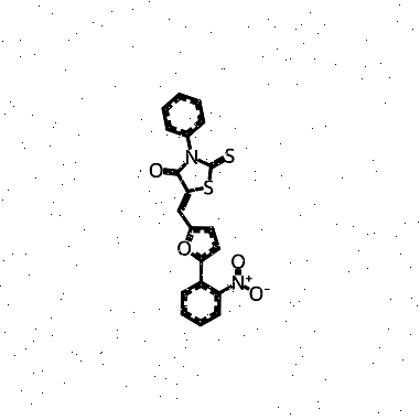 O=C1C(=Cc2ccc(-c3ccccc3[N+](=O)[O-])o2)SC(=S)N1c1ccccc1